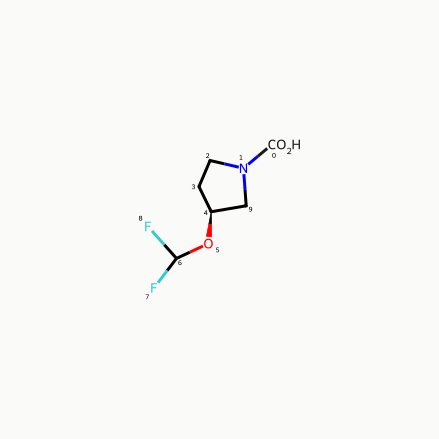 O=C(O)N1CC[C@H](OC(F)F)C1